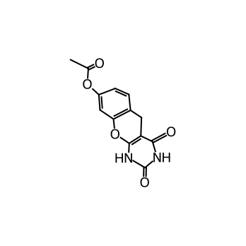 CC(=O)Oc1ccc2c(c1)Oc1[nH]c(=O)[nH]c(=O)c1C2